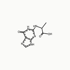 CC(Nc1nc2[nH]cnc2c(=O)[nH]1)C(=O)O